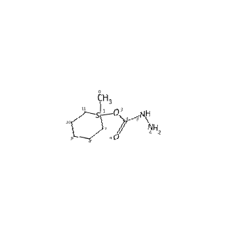 C[Si]1(OC(=O)NN)CCCCC1